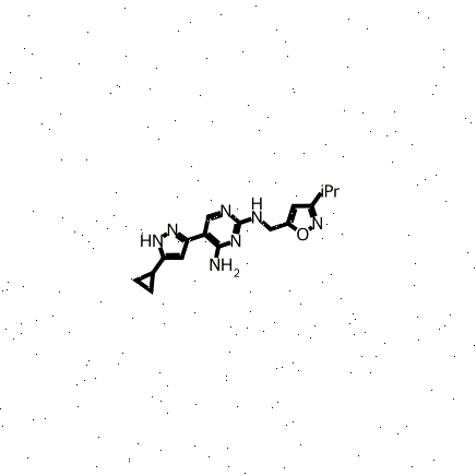 CC(C)c1cc(CNc2ncc(-c3cc(C4CC4)[nH]n3)c(N)n2)on1